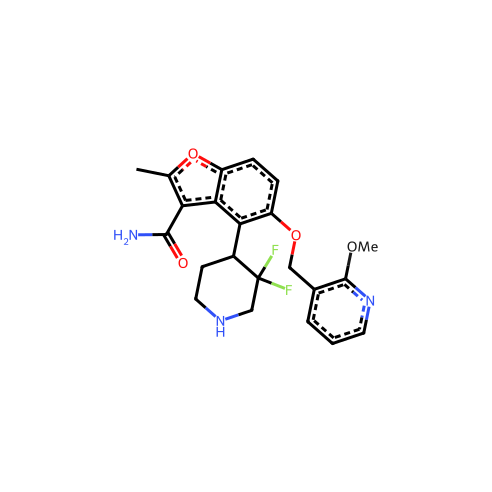 COc1ncccc1COc1ccc2oc(C)c(C(N)=O)c2c1C1CCNCC1(F)F